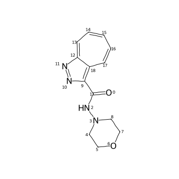 O=C(NN1CCOCC1)c1nnc2cccccc1-2